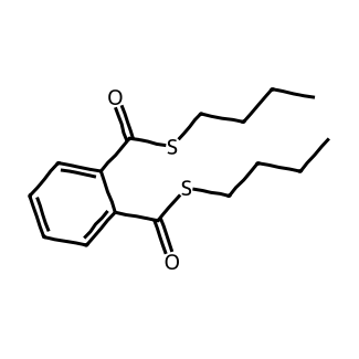 CCCCSC(=O)c1ccccc1C(=O)SCCCC